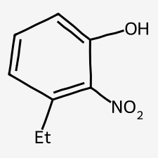 CCc1cccc(O)c1[N+](=O)[O-]